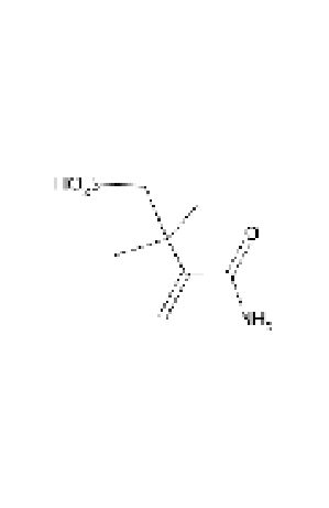 C=C(C(N)=O)C(C)(C)CS(=O)(=O)O